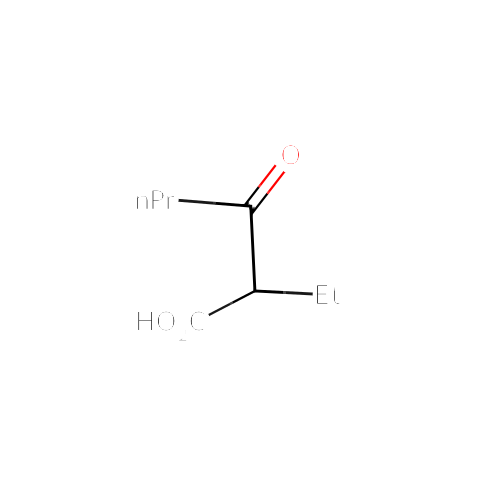 CCCC(=O)C(CC)C(=O)O